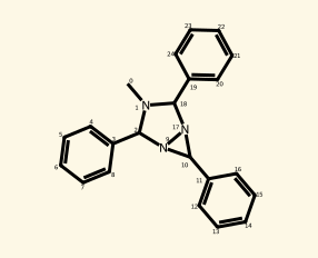 CN1C(c2ccccc2)N2C(c3ccccc3)N2C1c1ccccc1